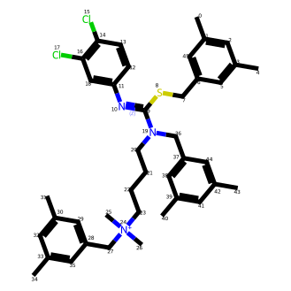 Cc1cc(C)cc(CS/C(=N\c2ccc(Cl)c(Cl)c2)N(CCCC[N+](C)(C)Cc2cc(C)cc(C)c2)Cc2cc(C)cc(C)c2)c1